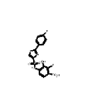 O=C(O)c1ccc(NS(=O)(=O)c2csc(-c3ccc(F)cc3)n2)c(O)c1F